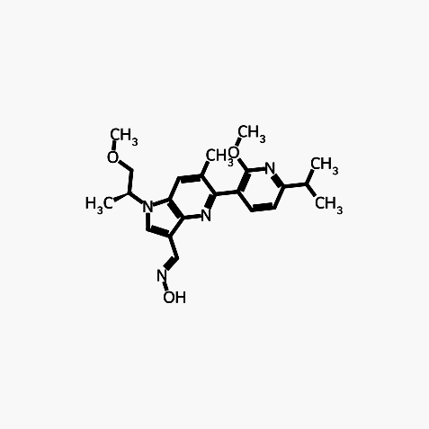 COC[C@H](C)n1cc(C=NO)c2nc(-c3ccc(C(C)C)nc3OC)c(C)cc21